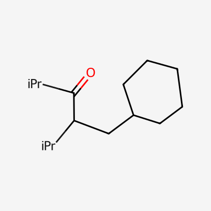 CC(C)C(=O)C(CC1CCCCC1)C(C)C